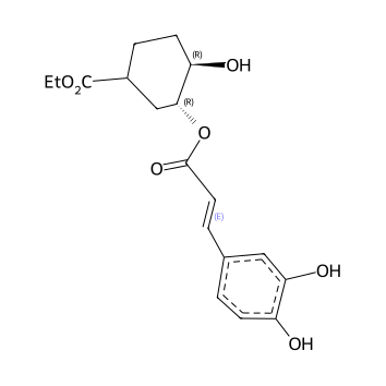 CCOC(=O)C1CC[C@@H](O)[C@H](OC(=O)/C=C/c2ccc(O)c(O)c2)C1